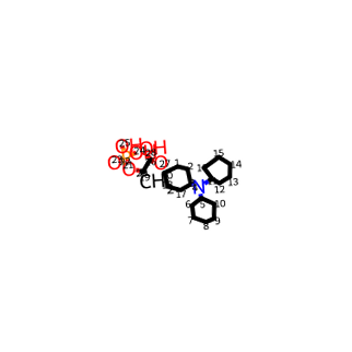 C1CCC(N(C2CCCCC2)C2CCCCC2)CC1.C=C(OP(=O)(O)O)C(=O)O